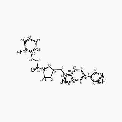 CC1CC(Cn2ncc3cc(-c4cn[nH]c4)ccc32)CN1C(=O)CCc1ccccc1F